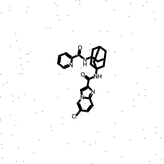 O=C(NC12CC3CC(C1)CC(NC(=O)c1cn4cc(Cl)ccc4n1)(C3)C2)c1ccccn1